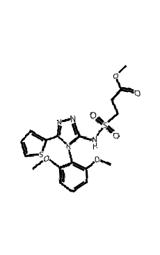 COC(=O)CCS(=O)(=O)Nc1nnc(-c2cccs2)n1-c1c(OC)cccc1OC